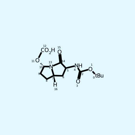 CC(C)(C)OC(=O)NC1C[C@@H]2CC[C@H](OC(=O)O)N2C1=O